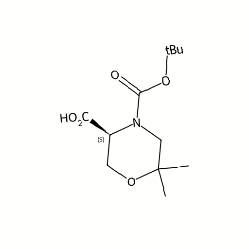 CC(C)(C)OC(=O)N1CC(C)(C)OC[C@H]1C(=O)O